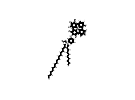 Fc1c(F)c(F)c([B-](c2c(F)c(F)c(F)c(F)c2F)(c2c(F)c(F)c(F)c(F)c2F)c2c(F)c(F)c(F)c(F)c2F)c(F)c1F.[2H]C[N+](CCCCCCCCCC)(CCCCCCCCCCCCCCCCCC)c1ccccc1